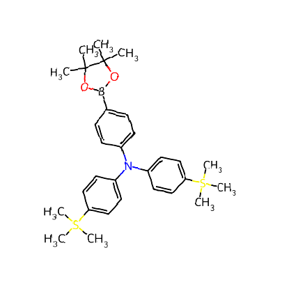 CC1(C)OB(c2ccc(N(c3ccc(S(C)(C)C)cc3)c3ccc(S(C)(C)C)cc3)cc2)OC1(C)C